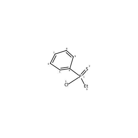 CCP(=S)(Cl)c1ccccc1